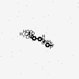 CC(C)[C@H](C(=O)O)N1Cc2ccc(-c3ccc(NC(=O)Nc4cccc(C(F)(F)F)c4)cc3)cc2C1=O